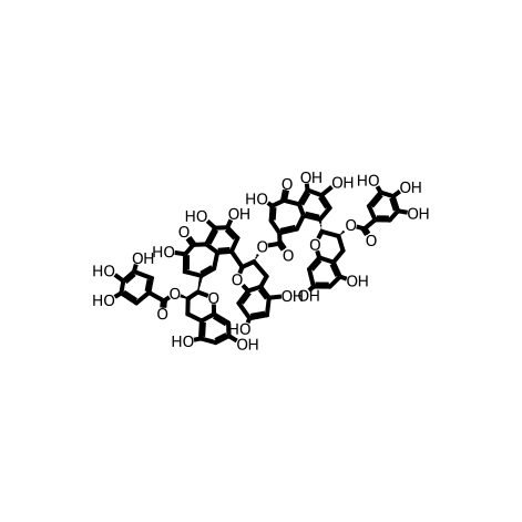 O=C(O[C@@H]1Cc2c(O)cc(O)cc2OC1c1cc(O)c(O)c2c(=O)c(O)cc([C@H]3Oc4cc(O)cc(O)c4C[C@H]3OC(=O)c3cc(O)c(O)c(O)c3)cc12)c1cc(O)c(=O)c2c(O)c(O)cc([C@H]3Oc4cc(O)cc(O)c4C[C@H]3OC(=O)c3cc(O)c(O)c(O)c3)c2c1